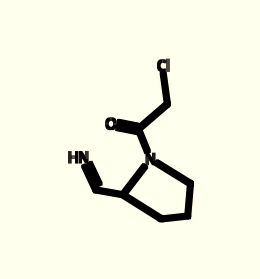 N=CC1CCCN1C(=O)CCl